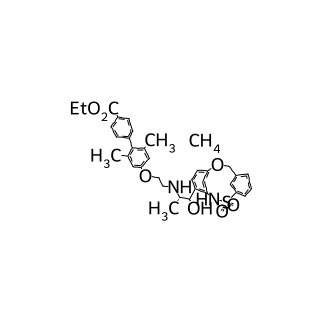 C.CCOC(=O)c1ccc(-c2c(C)cc(OCCN[C@@H](C)[C@H](O)c3ccc4cc3NS(=O)(=O)c3cccc(c3)CO4)cc2C)cc1